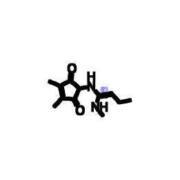 CC/C=C(\NC)NC1C(=O)C(C)=C(C)C1=O